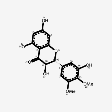 COc1cc([C@H]2Oc3cc(O)cc(O)c3C(=O)[C@@H]2O)cc(O)c1OC